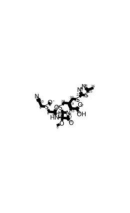 CO[C@@]1(NC(=O)C[S+]([O-])CC#N)C(=O)N2C(C(=O)O)=C(CSc3nnc(C)s3)CS[C@@H]21